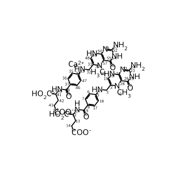 CN1C(CNc2ccc(C(=O)NC(CCC(=O)[O-])C(=O)O)cc2)=CNc2nc(N)[nH]c(=O)c21.CN1C(CNc2ccc(C(=O)NC(CCC(=O)[O-])C(=O)O)cc2)=CNc2nc(N)[nH]c(=O)c21.[Ca+2]